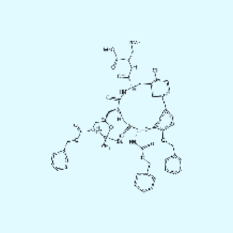 CNCC(NC(=O)[C@@H]1Cc2cc(ccc2Cl)-c2ccc(OCc3ccccc3)c(c2)C[C@H](NC(=O)OCc2ccccc2)C(=O)N[C@@H](C[C@H](CNC(=O)OCc2ccccc2)O[Si](C)(C)C(C)(C)C)C(=O)N1)C(=O)OC